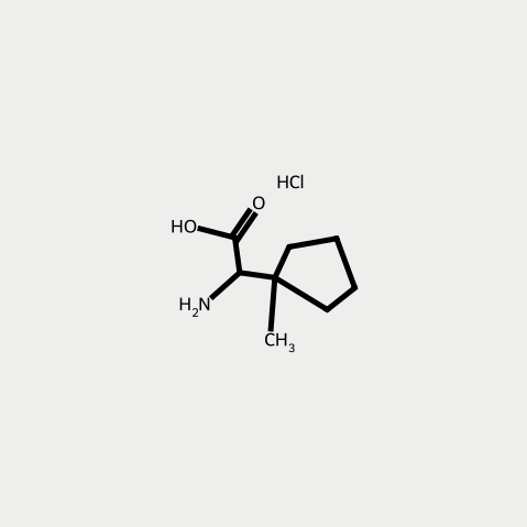 CC1(C(N)C(=O)O)CCCC1.Cl